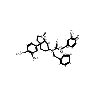 COc1ccc(C23CCC(N(Cc4ccccc4)C(=O)Nc4ccc(Cl)c(C(F)(F)F)c4)CC2N(C)CC3)cc1OC